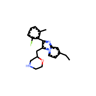 CCc1ccn2c(CC3CNCCO3)c(-c3c(C)cccc3F)nc2c1